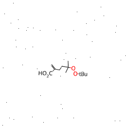 C=C(CCC(C)(C)OOC(C)(C)C)C(=O)O